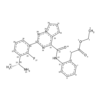 CCOC(=O)Cc1ccccc1NC(=O)c1nc(-c2cccc([C@@H](C)N)c2F)nn2cccc12